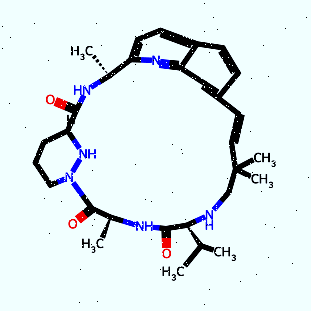 CC(C)[C@@H]1NCC(C)(C)/C=C/c2ccc3ccc(nc3c2)[C@@H](C)NC(=O)[C@@H]2CCCN(N2)C(=O)[C@H](C)NC1=O